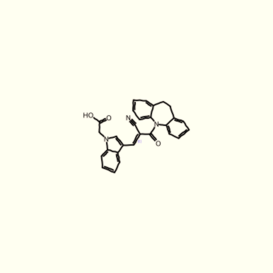 N#C/C(=C\c1cn(CC(=O)O)c2ccccc12)C(=O)N1c2ccccc2CCc2ccccc21